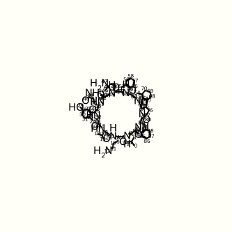 CC(C)C[C@@H]1NC(=O)[C@H](CCCN)NC(=O)[C@H](C(C)C)NC(=O)[C@H](Cc2ccc(O)cc2)NC(=O)[C@H](CCC(N)=O)NC(=O)[C@H](CC(N)=O)NC(=O)[C@@H](Cc2ccccc2)NC(=O)[C@H](CC2CCCCC2)NC(=O)[C@@H]2CCCN2C(=O)[C@@H](Cc2ccccc2)NC1=O